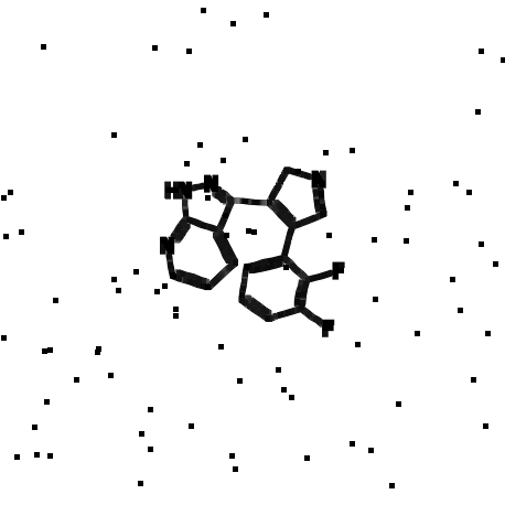 Fc1cccc(C2=C(c3n[nH]c4ncccc34)CN=C2)c1F